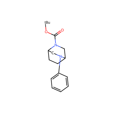 CC(C)(C)OC(=O)N1CC2CCC1CN2c1ccccc1